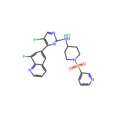 Cl.O=S(=O)(c1cccnc1)N1CCC(Nc2ncc(F)c(-c3cc(F)c4ncccc4c3)n2)CC1